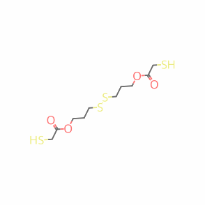 O=C(CS)OCCCSSCCCOC(=O)CS